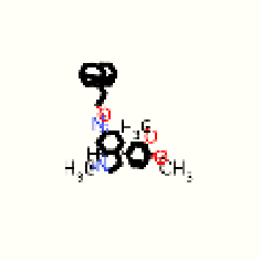 COc1ccc([C@@]23CC/C(=N\OCCC45CC6CC(CC(C6)C4)C5)C[C@@H]2N(C)CC3)cc1OC